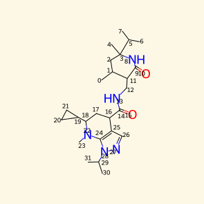 CC1CC(C)(C(C)C)NC(=O)C1CNC(=O)C1CC(C2CC2)N(C)c2c1cnn2C(C)C